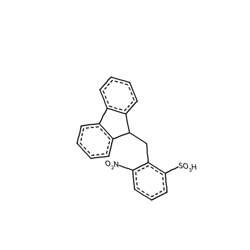 O=[N+]([O-])c1cccc(S(=O)(=O)O)c1CC1c2ccccc2-c2ccccc21